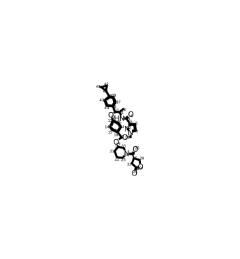 CC(NC(=O)c1ccn(C)n1)C(Oc1ccc(C(=O)O[C@H]2CCCN(C(=O)[C@H]3COC(=O)C3)C2)cc1)c1ccc(C2CC2)cc1